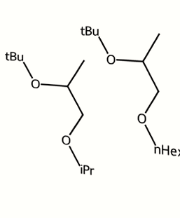 CC(C)OCC(C)OC(C)(C)C.CCCCCCOCC(C)OC(C)(C)C